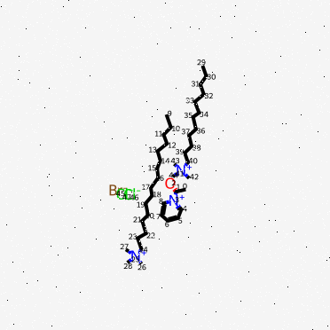 CC(=O)[n+]1ccccc1.CCCCCCCCCCCCCCCC[N+](C)(C)C.CCCCCCCCCCCC[N+](C)(C)C.[Br-].[Cl-].[Cl-]